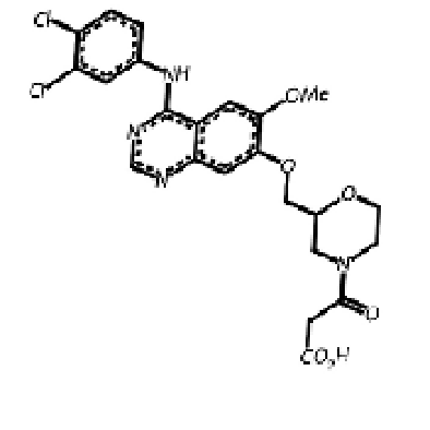 COc1cc2c(Nc3ccc(Cl)c(Cl)c3)ncnc2cc1OCC1CN(C(=O)CC(=O)O)CCO1